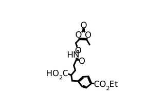 CCOC(=O)c1ccc(CC(CCC(=O)NOCc2oc(=O)oc2C)C(=O)O)cc1